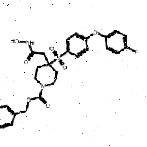 O=C(CC1(S(=O)(=O)c2ccc(Oc3ccc(F)cc3)cc2)CCN(C(=O)OCc2ccccc2)CC1)NO